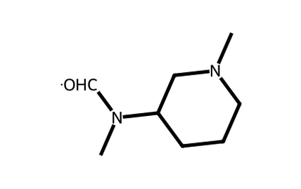 CN1CCCC(N(C)[C]=O)C1